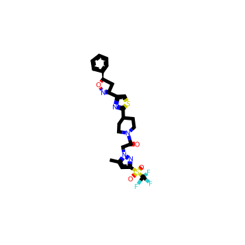 Cc1cc(S(=O)(=O)C(F)(F)F)nn1CC(=O)N1CCC(c2nc(C3=NO[C@@H](c4ccccc4)C3)cs2)CC1